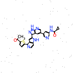 CC(=O)c1ccc(-c2nccc3[nH]c(-c4n[nH]c5ncc(-c6cncc(NC(=O)C7CC7)c6)cc45)cc23)s1